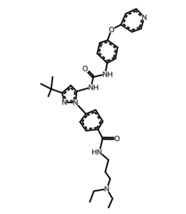 CCN(CC)CCCNC(=O)c1ccc(-n2nc(C(C)(C)C)cc2NC(=O)Nc2ccc(Oc3ccncc3)cc2)cc1